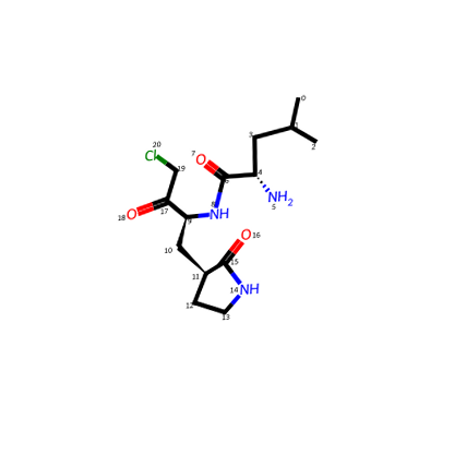 CC(C)C[C@H](N)C(=O)N[C@@H](C[C@@H]1CCNC1=O)C(=O)CCl